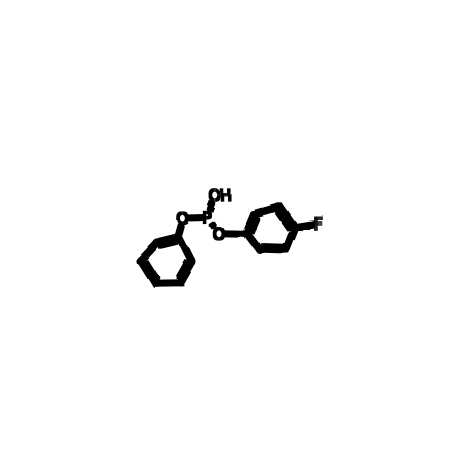 OP(Oc1ccccc1)Oc1ccc(F)cc1